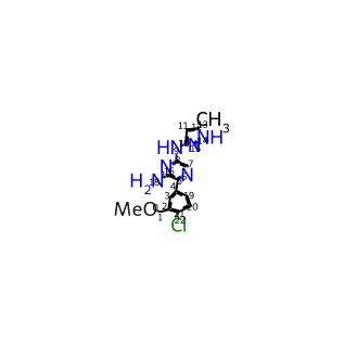 COCc1cc(-c2ncc(Nc3cc(C)[nH]n3)nc2N)ccc1Cl